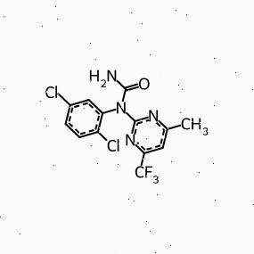 Cc1cc(C(F)(F)F)nc(N(C(N)=O)c2cc(Cl)ccc2Cl)n1